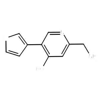 NCc1cc(O)c(-c2ccoc2)cn1